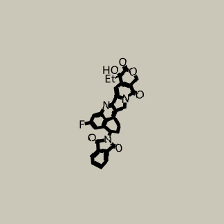 CC[C@@]1(O)C(=O)OCc2c1cc1n(c2=O)Cc2c-1nc1cc(F)cc3c1c2CCC3N1C(=O)c2ccccc2C1=O